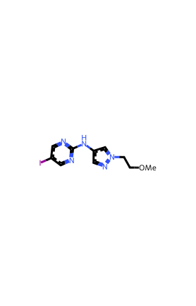 COCCn1cc(Nc2ncc(I)cn2)cn1